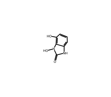 O=c1[nH]c2cccc(O)c2n1O